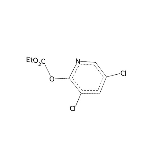 CCOC(=O)Oc1ncc(Cl)cc1Cl